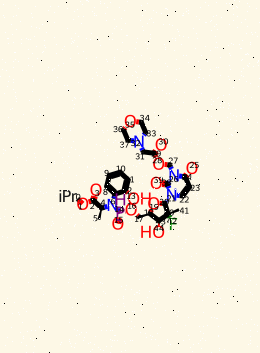 CC(C)OC(=O)[C@H](C)N(c1ccccc1O)[PH](=O)OC[C@H]1O[C@@H](n2ccc(=O)n(COC(=O)CN3CCOCC3)c2=O)[C@](C)(F)[C@@H]1O